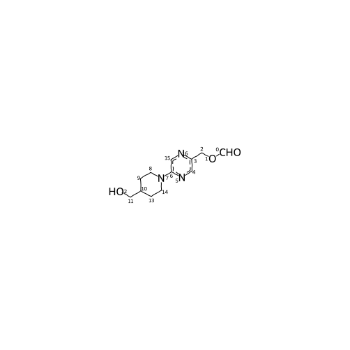 O=COCc1cnc(N2CCC(CO)CC2)cn1